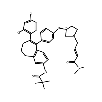 CN(C)C(=O)C=CCN1CC[C@H](Oc2ccc(C3=C(c4ccc(Cl)cc4Cl)CCCc4cc(OC(=O)C(C)(C)C)ccc43)cc2)C1